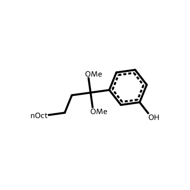 CCCCCCCCCCC(OC)(OC)c1cccc(O)c1